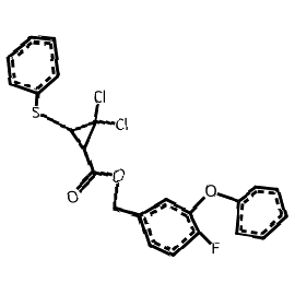 O=C(OCc1ccc(F)c(Oc2ccccc2)c1)C1C(Sc2ccccc2)C1(Cl)Cl